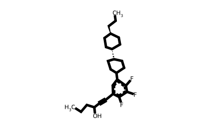 CCCC(O)C#Cc1cc(C2CCC([C@H]3CC[C@H](CCC)CC3)CC2)c(F)c(F)c1F